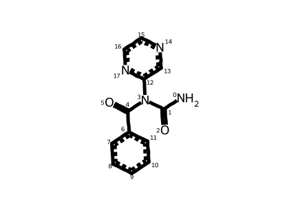 NC(=O)N(C(=O)c1ccccc1)c1cnccn1